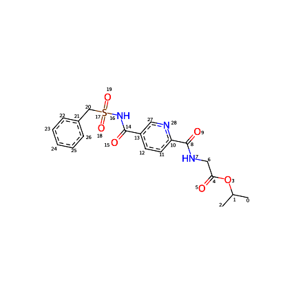 CC(C)OC(=O)CNC(=O)c1ccc(C(=O)NS(=O)(=O)Cc2ccccc2)cn1